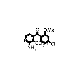 COc1cc(Cl)ccc1C(=O)c1ccnc(N)c1C(=O)O